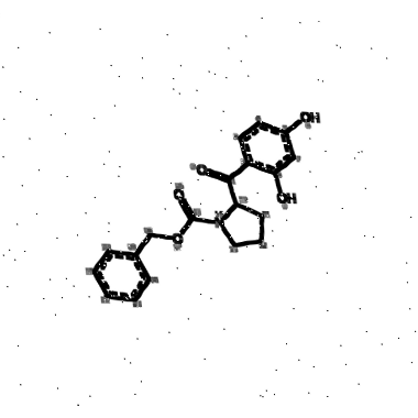 O=C(c1ccc(O)cc1O)C1CCCN1C(=O)OCc1ccccc1